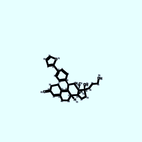 C[C@@]12C[C@H](c3ccc(-c4ccco4)cc3)C3=C4CCC(=O)C=C4CC[C@H]3[C@@H]1CC[C@@]2(O)CCCO